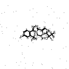 C[C@H]1Cn2c(-c3ccc(F)cc3C(F)(F)F)nnc2-c2cnc([C@@](C)(O)C(F)(F)F)n21